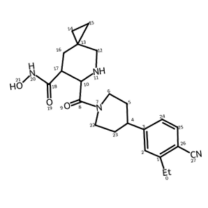 CCc1cc(C2CCN(C(=O)C3NCC4(CC4)CC3C(=O)NO)CC2)ccc1C#N